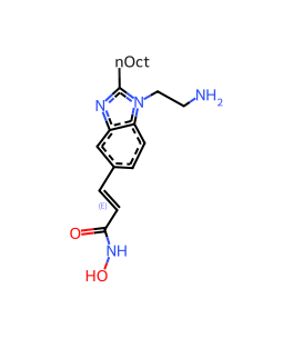 CCCCCCCCc1nc2cc(/C=C/C(=O)NO)ccc2n1CCN